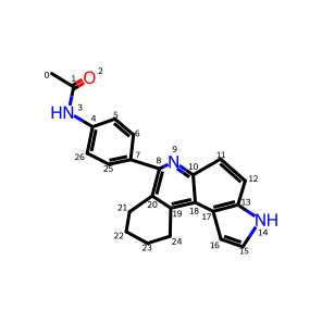 CC(=O)Nc1ccc(-c2nc3ccc4[nH]ccc4c3c3c2CCCC3)cc1